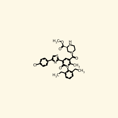 CCc1cccc(CC)c1-n1c(C)c(C(=O)N2CCN[C@H](C(=O)OC)C2)cc(-c2nc(-c3ccc(Cl)cc3)cs2)c1=O